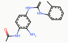 C=C(Nc1ccc(NC(C)=O)c(N)c1)Nc1ccccc1C